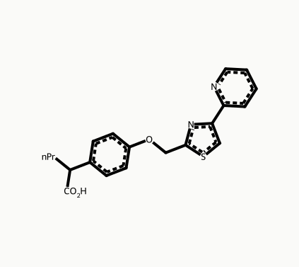 CCCC(C(=O)O)c1ccc(OCc2nc(-c3ccccn3)cs2)cc1